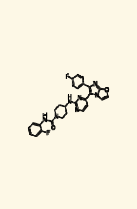 O=C(Nc1ccccc1F)N1CCC(Nc2nccc(-c3c(-c4ccc(F)cc4)nc4occn34)n2)CC1